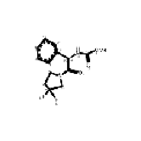 COC(=O)N[C@@H](C(=O)N1CCC(F)(F)C1)c1ccccc1